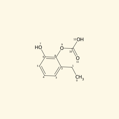 CCc1cccc(O)c1OC(=O)O